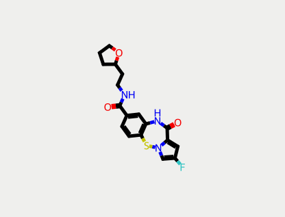 O=C(NCCC1CCCO1)c1ccc2c(c1)NC(=O)c1cc(F)cn1S2